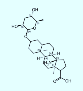 C[C@H]1O[C@@H](OC2CC[C@@]3(C)C(CC[C@@H]4[C@H]3CC[C@]3(C)C(C(=O)O)CC[C@@]43N)C2)[C@@H](O)C[C@@H]1O